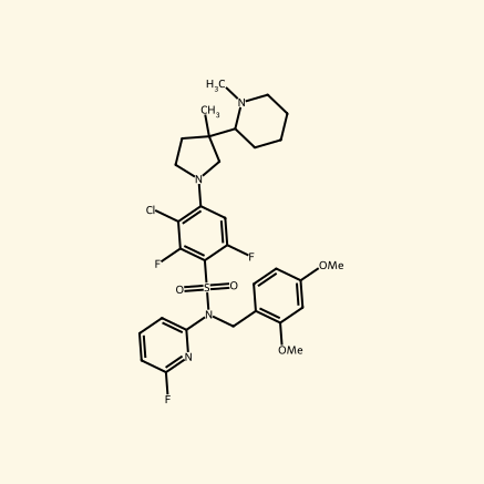 COc1ccc(CN(c2cccc(F)n2)S(=O)(=O)c2c(F)cc(N3CCC(C)(C4CCCCN4C)C3)c(Cl)c2F)c(OC)c1